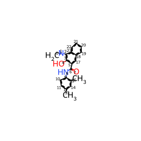 C=Nc1c(O)c(C(=O)Nc2ccc(C)cc2C)cc2ccccc12